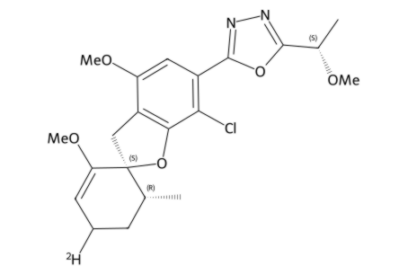 [2H]C1C=C(OC)[C@]2(Cc3c(OC)cc(-c4nnc([C@H](C)OC)o4)c(Cl)c3O2)[C@H](C)C1